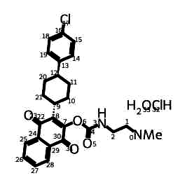 CNCCNC(=O)OC1=C([C@H]2CC[C@H](c3ccc(Cl)cc3)CC2)C(=O)c2ccccc2C1=O.Cl.O